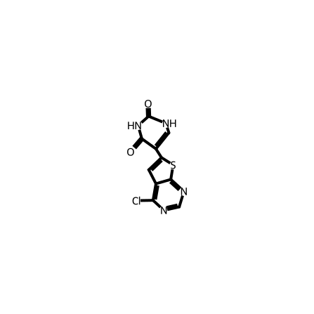 O=c1[nH]cc(-c2cc3c(Cl)ncnc3s2)c(=O)[nH]1